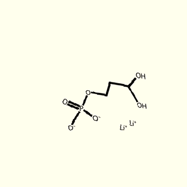 O=P([O-])([O-])OCCC(O)O.[Li+].[Li+]